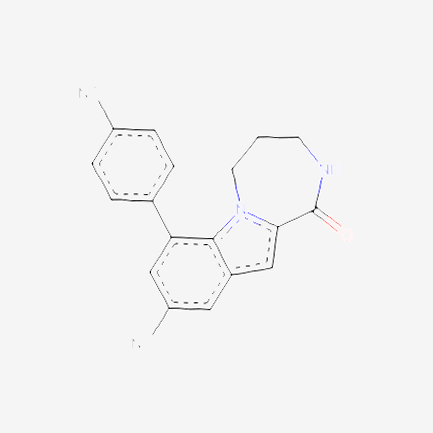 N#Cc1ccc(-c2cc(C#N)cc3cc4n(c23)CCCNC4=O)cc1